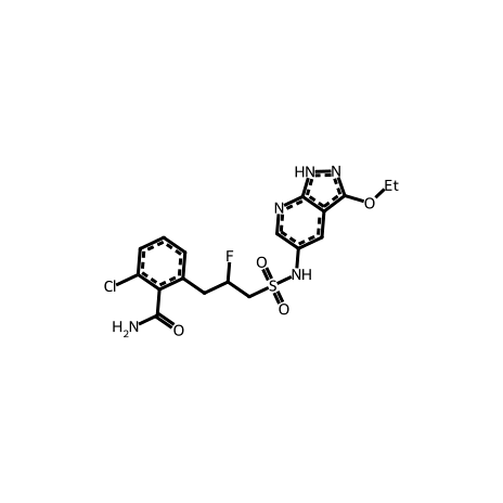 CCOc1n[nH]c2ncc(NS(=O)(=O)CC(F)Cc3cccc(Cl)c3C(N)=O)cc12